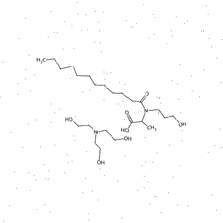 CCCCCCCCCCCC(=O)N(CCCO)C(C)C(=O)O.OCCN(CCO)CCO